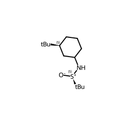 CC(C)(C)[C@H]1CCCC(N[S@+]([O-])C(C)(C)C)C1